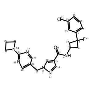 O=C(NC1CC(F)(c2cccc(Cl)c2)C1)c1cnn(Cc2cnc(N3CCC3)nc2)c1